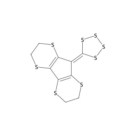 C1CSC2=C(S1)C1=C(SCCS1)C2=C1SSSS1